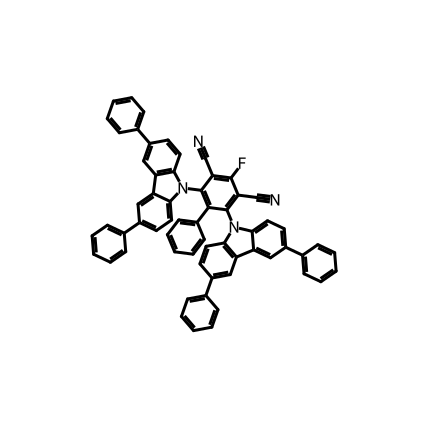 N#Cc1c(F)c(C#N)c(-n2c3ccc(-c4ccccc4)cc3c3cc(-c4ccccc4)ccc32)c(-c2ccccc2)c1-n1c2ccc(-c3ccccc3)cc2c2cc(-c3ccccc3)ccc21